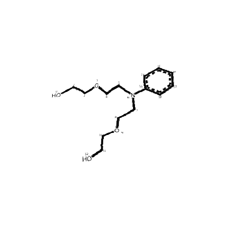 OCCOCCN(CCOCCO)c1ccccc1